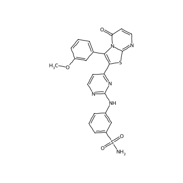 COc1cccc(-c2c(-c3ccnc(Nc4cccc(S(N)(=O)=O)c4)n3)sc3nccc(=O)n23)c1